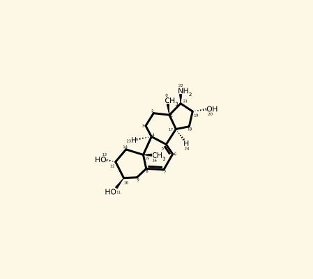 C[C@]12CC[C@H]3C(=CC=C4C[C@@H](O)[C@H](O)C[C@@]43C)[C@@H]1C[C@@H](O)[C@@H]2N